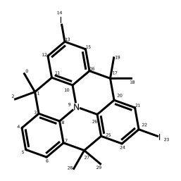 CC1(C)c2cccc3c2N2c4c1cc(I)cc4C(C)(C)c1cc(I)cc(c12)C3(C)C